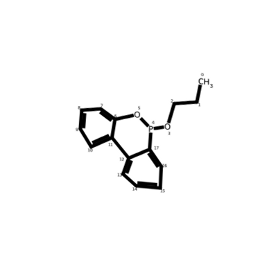 CCCOP1Oc2ccccc2-c2ccccc21